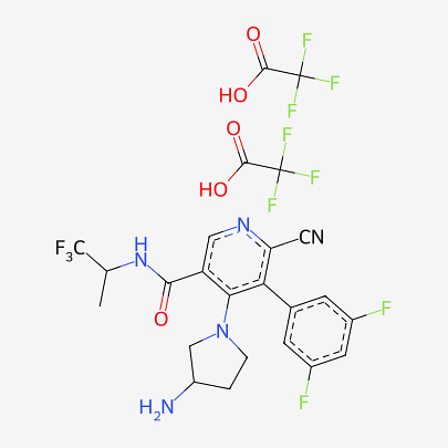 CC(NC(=O)c1cnc(C#N)c(-c2cc(F)cc(F)c2)c1N1CCC(N)C1)C(F)(F)F.O=C(O)C(F)(F)F.O=C(O)C(F)(F)F